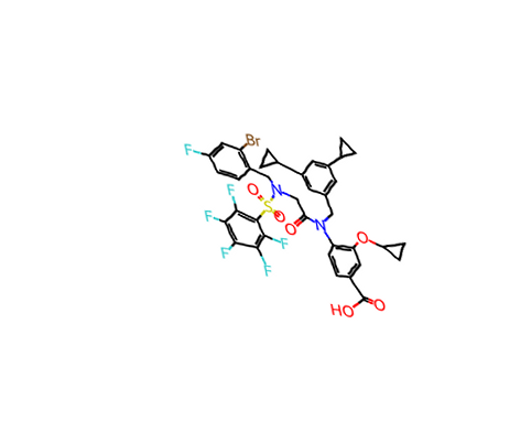 O=C(O)c1ccc(N(Cc2cc(C3CC3)cc(C3CC3)c2)C(=O)CN(Cc2ccc(F)cc2Br)S(=O)(=O)c2c(F)c(F)c(F)c(F)c2F)c(OC2CC2)c1